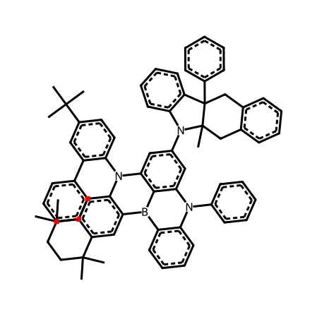 CC(C)(C)c1ccc(N2c3cc4c(cc3B3c5ccccc5N(c5ccccc5)c5cc(N6c7ccccc7C7(c8ccccc8)Cc8ccccc8CC67C)cc2c53)C(C)(C)CCC4(C)C)c(-c2ccccc2)c1